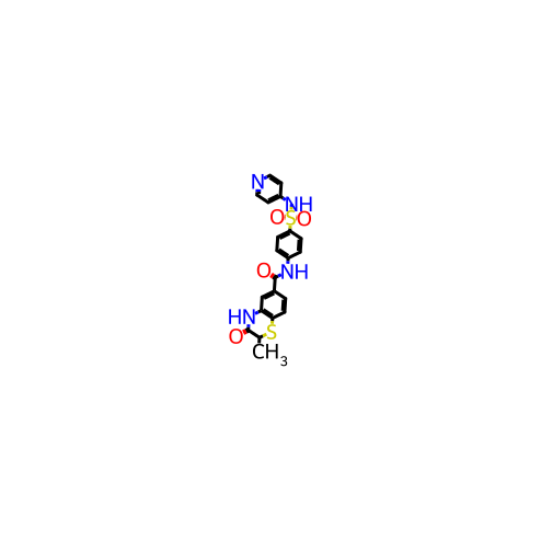 CC1Sc2ccc(C(=O)Nc3ccc(S(=O)(=O)Nc4ccncc4)cc3)cc2NC1=O